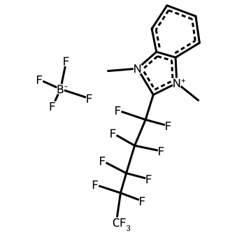 Cn1c(C(F)(F)C(F)(F)C(F)(F)C(F)(F)C(F)(F)F)[n+](C)c2ccccc21.F[B-](F)(F)F